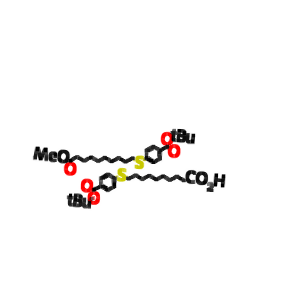 CC(C)(C)OC(=O)c1ccc(SCCCCCCCCCC(=O)O)cc1.COC(=O)CCCCCCCCCSc1ccc(C(=O)OC(C)(C)C)cc1